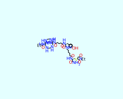 CCC(=O)N[C@]12CNCCNC[C@](NC(=O)CCCC(=O)N[C@@H](Cc3ccc(O)cc3)C(=O)NCCCCCC(=O)N[C@@H](CSC3CC(=O)N(CC)C3=O)C(N)=O)(CNCCNC1)NCCN2